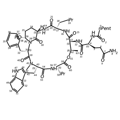 CCCCCC(=O)N[C@@H](CCC(N)=O)C(=O)N[C@@H]1C(=O)N[C@@H](CC(C)C)C(=O)N[C@H]2CC[C@@H](O)N(C2=O)[C@@H](Cc2ccccc2)C(=O)N(C)[C@@H](Cc2c[nH]c3ccccc23)C(=O)N[C@@H](C(C)C)C(=O)O[C@@H]1C